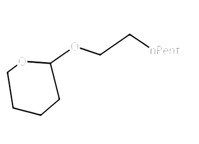 CCCCCCCOC1CCCCO1